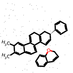 C1=Cc2ccccc2OC1.CC1=Cc2ccc3c(c2=CC1C)=CCC1=C3C=C[C@@H](c2ccccc2)C1